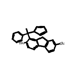 CC(C)(C)c1ccc2c(c1)Cc1c-2ccc(C(C)(C)C)c1C(C)(c1ccccc1)C1C=CC=C1